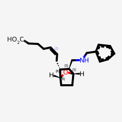 O=C(O)CCC/C=C\C[C@@H]1[C@@H](CNCc2ccccc2)[C@@H]2CC[C@H]1O2